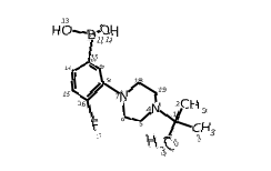 CC(C)(C)N1CCN(c2cc(B(O)O)ccc2F)CC1